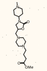 COC(=O)CCCN1CCN(CC2CN(C3CCN(C)CC3)C(=O)O2)CC1